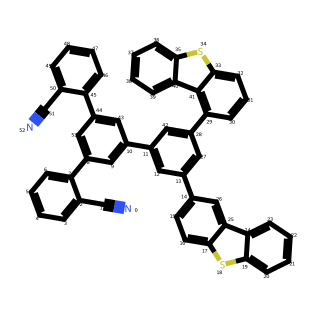 N#Cc1ccccc1-c1cc(-c2cc(-c3ccc4sc5ccccc5c4c3)cc(-c3cccc4sc5ccccc5c34)c2)cc(-c2ccccc2C#N)c1